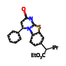 CCOC(=O)C(c1ccc2c(c1)sc1nc(=O)cc(-c3ccccc3)n12)C(C)C